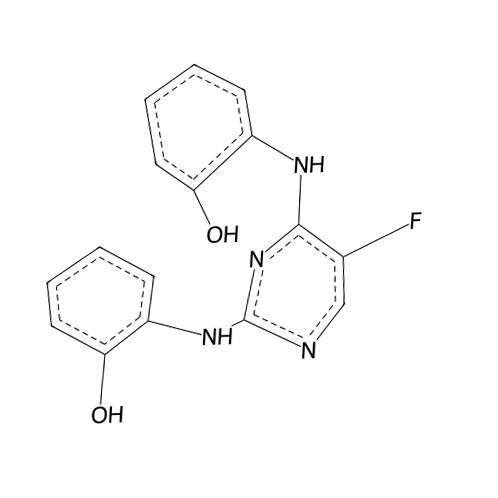 Oc1ccccc1Nc1ncc(F)c(Nc2ccccc2O)n1